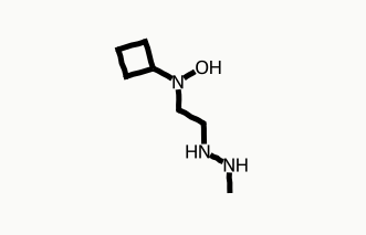 CNNCCN(O)C1CCC1